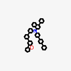 c1ccc(-c2ccc(-c3ccc(N(c4cccc(-c5cccc(-c6ccc7oc8ccccc8c7c6)c5)c4)c4ccc(-c5ccccc5)c5ccccc45)cc3)cc2)cc1